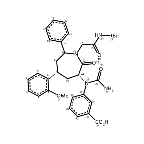 COc1ccccc1[C@@H]1CC(c2ccccc2)N(CC(=O)NC(C)(C)C)C(=O)[C@H](N(C(N)=O)c2cccc(C(=O)O)c2)C1